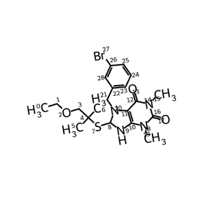 CCOCC(C)(C)SC1Nc2c(c(=O)n(C)c(=O)n2C)N1Cc1cccc(Br)c1